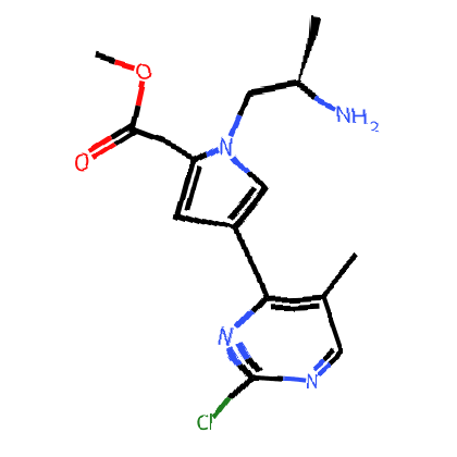 COC(=O)c1cc(-c2nc(Cl)ncc2C)cn1C[C@@H](C)N